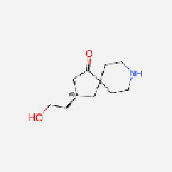 O=C1C[C@H](CCO)CC12CCNCC2